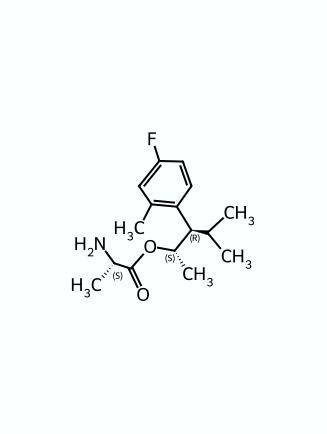 Cc1cc(F)ccc1[C@@H](C(C)C)[C@H](C)OC(=O)[C@H](C)N